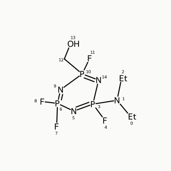 CCN(CC)P1(F)=NP(F)(F)=NP(F)(CO)=N1